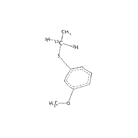 [2H][13C]([2H])(C)Sc1cccc(OC)c1